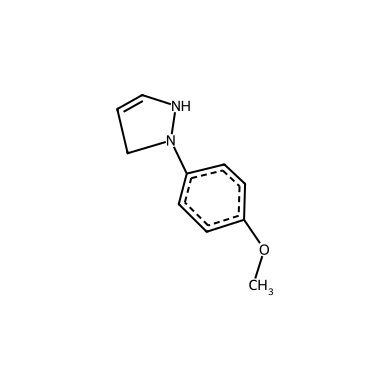 COc1ccc(N2CC=CN2)cc1